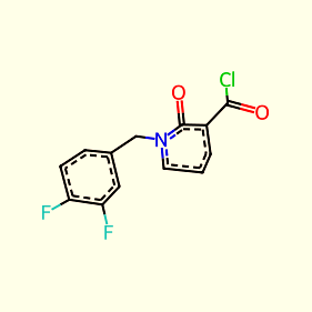 O=C(Cl)c1cccn(Cc2ccc(F)c(F)c2)c1=O